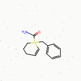 NC(=O)S1(Cc2ccccc2)C=CCCC1